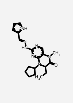 CCC1C(=O)N(C)c2cnc(N/N=C/c3ccc[nH]3)nc2N1C1CCCC1